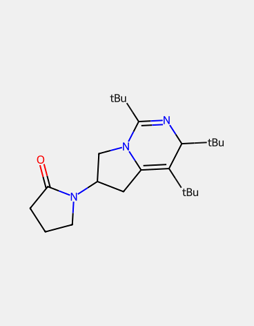 CC(C)(C)C1=NC(C(C)(C)C)C(C(C)(C)C)=C2CC(N3CCCC3=O)CN12